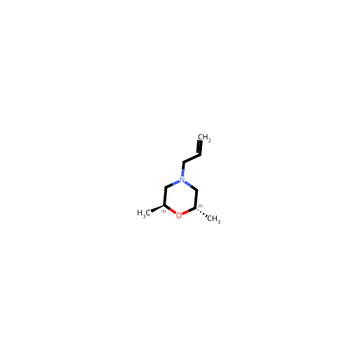 C=CCN1C[C@H](C)O[C@@H](C)C1